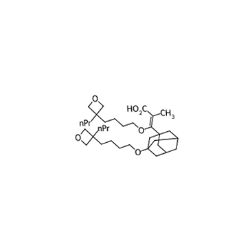 CCCC1(CCCCOC(=C(C)C(=O)O)C23CC4CC(CC(OCCCCC5(CCC)COC5)(C4)C2)C3)COC1